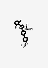 CCCNC(=O)[C@H]1CC(c2c(F)cccc2F)=N[C@H]1c1ccc(-c2ccc(OC(F)(F)F)cc2)cc1